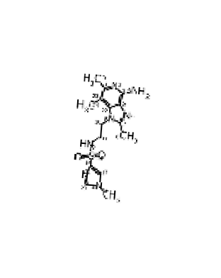 Cc1nc(N)c2nc(C)n(CCNS(=O)(=O)c3cn(C)cn3)c2c1C